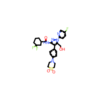 O=C(Nc1nn(-c2ccc(F)cn2)c(CO)c1-c1ccc(N2CCS(=O)(=O)CC2)cc1)C1CCCC(F)(F)C1